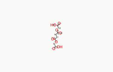 [O]C(O)COC(=O)CCC(=O)OCC([O])O